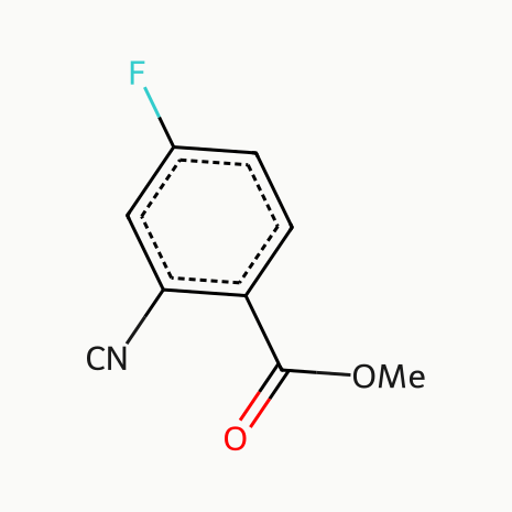 [C-]#[N+]c1cc(F)ccc1C(=O)OC